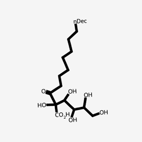 CCCCCCCCCCCCCCCCCC(=O)C(O)(C(=O)O)C(O)C(O)C(O)CO